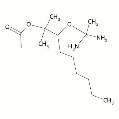 CCCCCCC(OC(C)(N)N)C(C)(C)OC(=O)I